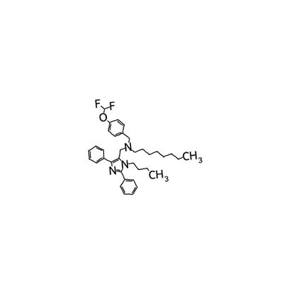 CCCCCCCCN(Cc1ccc(OC(F)F)cc1)Cc1c(-c2ccccc2)nc(-c2ccccc2)n1CCCC